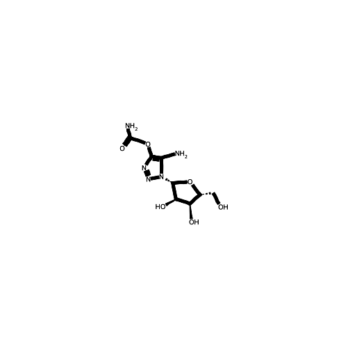 NC(=O)Oc1nnn([C@@H]2O[C@H](CO)[C@@H](O)[C@H]2O)c1N